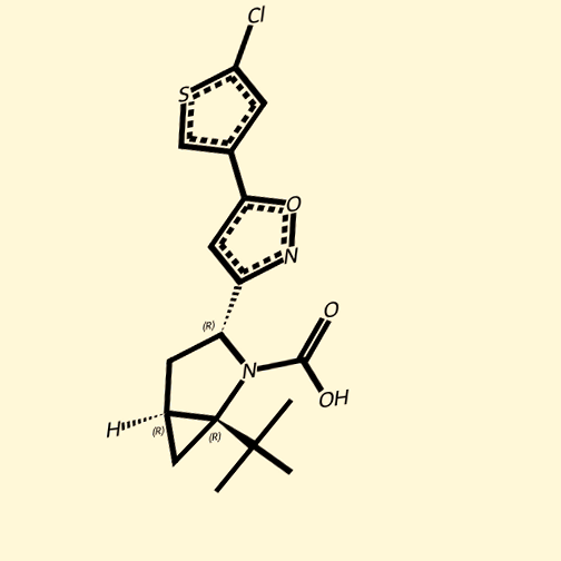 CC(C)(C)[C@@]12C[C@H]1C[C@H](c1cc(-c3csc(Cl)c3)on1)N2C(=O)O